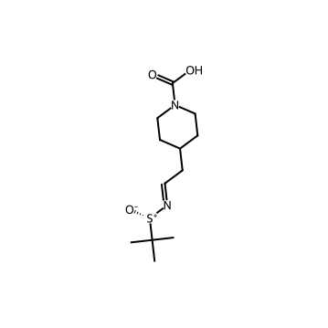 CC(C)(C)[S@+]([O-])/N=C/CC1CCN(C(=O)O)CC1